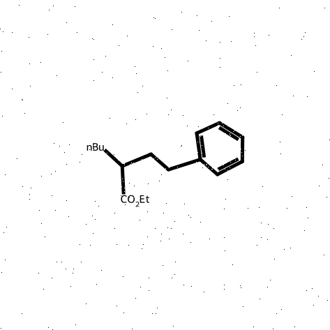 CCCCC(CCc1ccccc1)C(=O)OCC